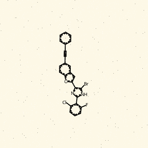 Fc1cccc(Cl)c1-c1nc(-c2cc3cc(C#Cc4ccccc4)ccc3o2)c(Br)[nH]1